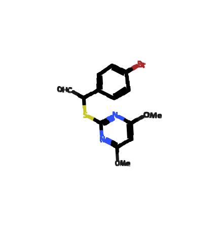 COc1cc(OC)nc(SC(C=O)c2ccc(Br)cc2)n1